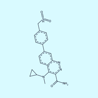 CN(c1c(C(N)=O)nnc2cc(-c3ccc(C[SH](=O)=O)cc3)ccc12)C1CC1